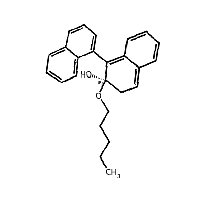 CCCCCO[C@]1(O)CC=c2ccccc2=C1c1cccc2ccccc12